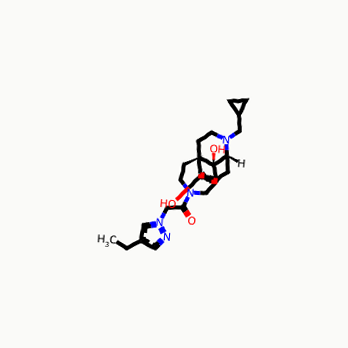 CCc1cnn(CC(=O)N2CC[C@]34CCN(CC5CC5)[C@H](Cc5ccc(O)cc53)[C@]4(O)CC2)c1